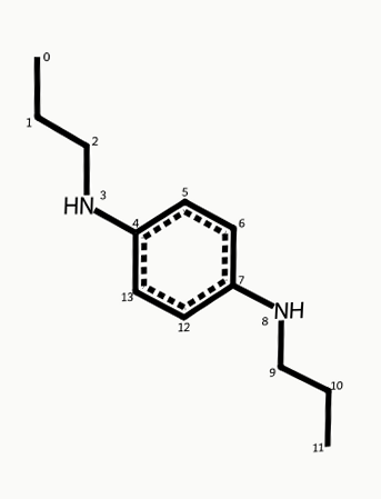 CCCNc1ccc(NCCC)cc1